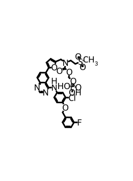 CS(=O)(=O)CCN(Cc1ccc(-c2ccc3ncnc(Nc4ccc(OCc5cccc(F)c5)c(Cl)c4)c3c2)o1)C(=O)OCOP(=O)(O)O